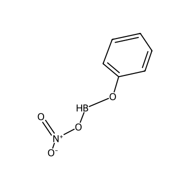 O=[N+]([O-])OBOc1ccccc1